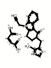 C#CCn1c2c(c3ccccc31)C(=O)C(Cc1nc[nH]c1C)CC2.O=C(O)/C=C\C(=O)O